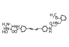 COc1ccccc1CNCC(=O)Nc1ccc(C#CC#Cc2ccc(C(=O)N[C@@H](CN)C(=O)NO)cc2)cc1